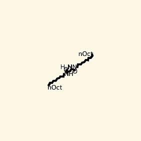 CCCCCCCC/C=C\CCCCCCCCNC(=O)CC(N)C(=O)NCCCCCCCC/C=C\CCCCCCCC